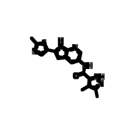 Cc1ncc(-c2cc3cc(NC(=O)c4[nH]nc(C)c4C)cnc3[nH]2)s1